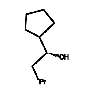 CC(C)C[C@@H](O)C1CCCC1